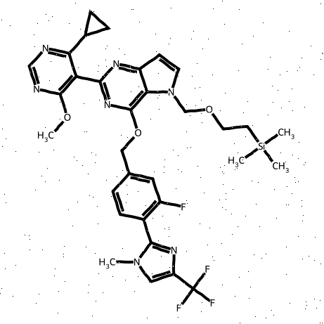 COc1ncnc(C2CC2)c1-c1nc(OCc2ccc(-c3nc(C(F)(F)F)cn3C)c(F)c2)c2c(ccn2COCC[Si](C)(C)C)n1